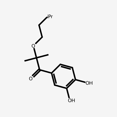 CC(C)CCOC(C)(C)C(=O)c1ccc(O)c(O)c1